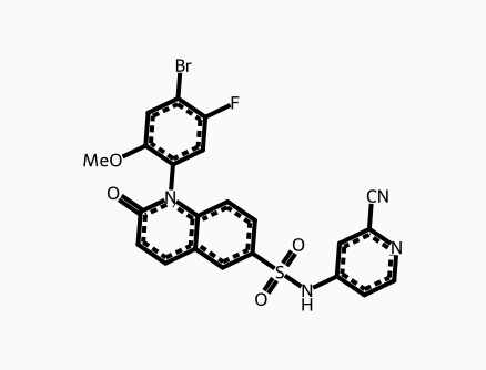 COc1cc(Br)c(F)cc1-n1c(=O)ccc2cc(S(=O)(=O)Nc3ccnc(C#N)c3)ccc21